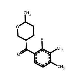 Cc1ccc(C(=O)[C@@H]2CCC(C)OC2)c(F)c1C(F)(F)F